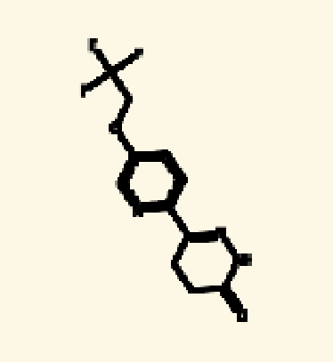 O=C1CCC(c2ccc(OCC(F)(F)F)cn2)=NN1